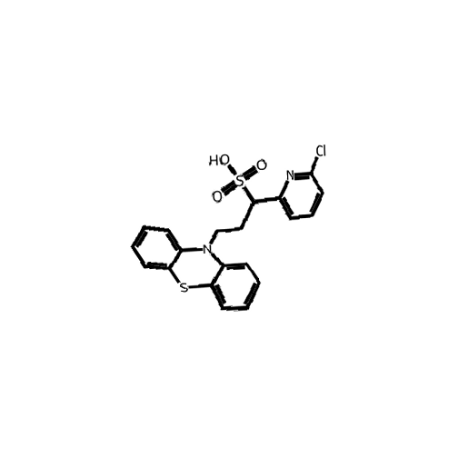 O=S(=O)(O)C(CCN1c2ccccc2Sc2ccccc21)c1cccc(Cl)n1